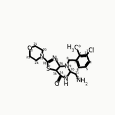 Cc1c(Cl)cccc1CN1C(CN)NC(=O)C2SC(N3CCOCC3)=NC21